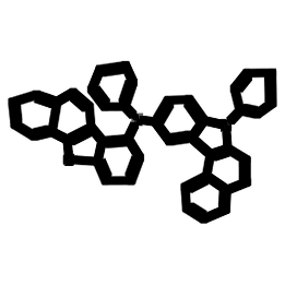 c1ccc(N(c2ccc3c(c2)c2c4ccccc4ccc2n3-c2ccccc2)c2cccc3oc4c5ccccc5ccc4c23)cc1